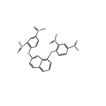 O=[N+]([O-])c1ccc(Oc2ccc3cccc(Oc4ccc([N+](=O)[O-])cc4[N+](=O)[O-])c3c2)c([N+](=O)[O-])c1